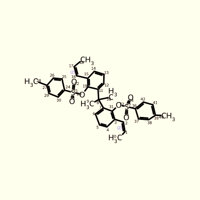 C/C=C\c1cccc(C(C)(C)c2cccc(/C=C\C)c2OS(=O)(=O)c2ccc(C)cc2)c1OS(=O)(=O)c1ccc(C)cc1